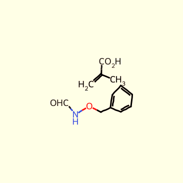 C=C(C)C(=O)O.O=CNOCc1ccccc1